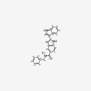 O=C(c1ccc2[nH]c(-c3n[nH]c4ccccc34)nc2c1)N(F)Cc1ccccc1